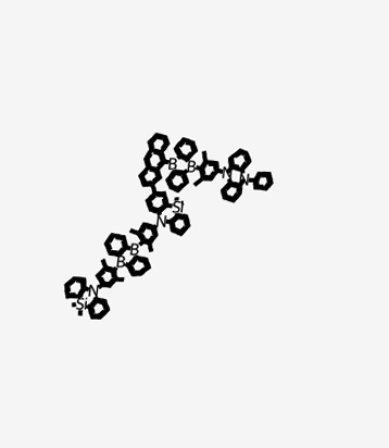 Cc1cc(N2c3ccccc3[Si](C)(C)c3ccccc32)cc(C)c1B1c2ccccc2B(c2c(C)cc(N3c4ccccc4[Si](C)(C)c4cc(-c5ccc6cc7ccccc7c(B7c8ccccc8B(c8c(C)cc(N9c%10ccccc%10N(c%10ccccc%10)c%10ccccc%109)cc8C)c8ccccc87)c6c5)ccc43)cc2C)c2ccccc21